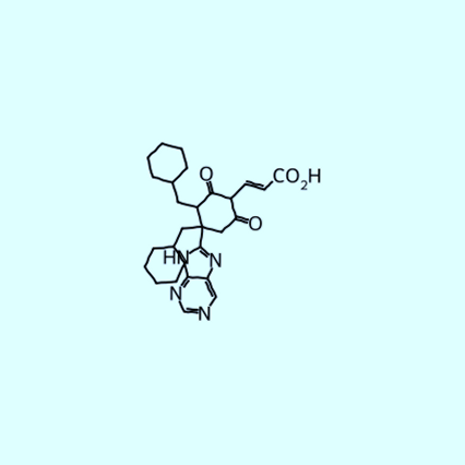 O=C(O)C=CC1C(=O)CC(CC2CCCCC2)(c2nc3cncnc3[nH]2)C(CC2CCCCC2)C1=O